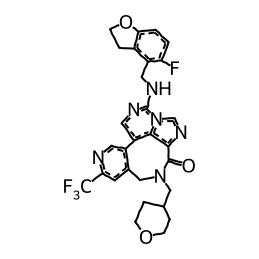 O=C1c2ncn3c(NCc4c(F)ccc5c4CCO5)ncc(c23)-c2cnc(C(F)(F)F)cc2CN1CC1CCOCC1